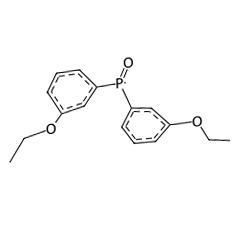 CCOc1cccc([P](=O)c2cccc(OCC)c2)c1